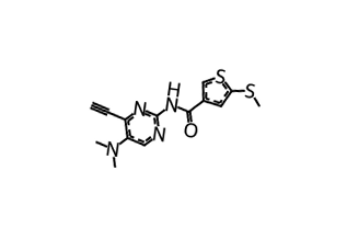 C#Cc1nc(NC(=O)c2csc(SC)c2)ncc1N(C)C